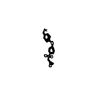 CC(=O)Cc1ccc(Oc2ccc(S(=O)(=O)CC3CO3)cc2)cc1